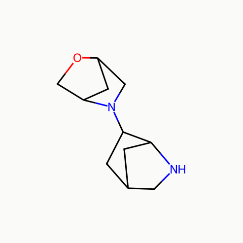 C1NC2CC1CC2N1CC2CC1CO2